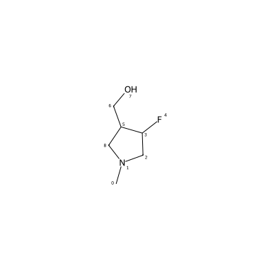 CN1CC(F)C(CO)C1